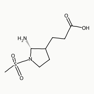 CS(=O)(=O)N1CCC(CCC(=O)O)[C@H]1N